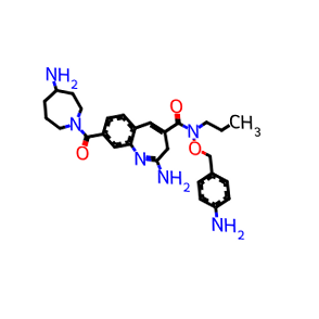 CCCN(OCc1ccc(N)cc1)C(=O)C1=Cc2ccc(C(=O)N3CCCC(N)CC3)cc2N=C(N)C1